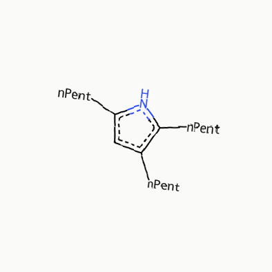 CCCCCc1cc(CCCCC)c(CCCCC)[nH]1